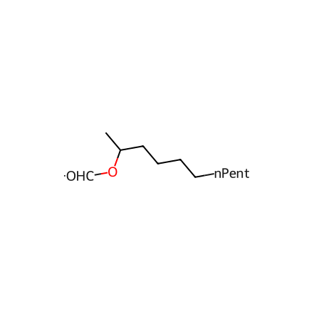 CCCCCCCCCC(C)O[C]=O